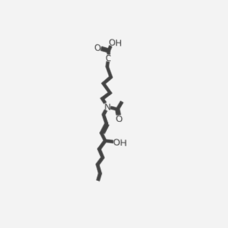 CCCCCC(O)/C=C/CN(CCCCCCC(=O)O)C(C)=O